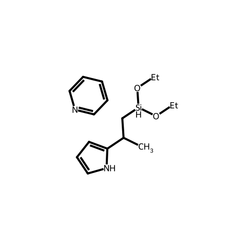 CCO[SiH](CC(C)c1ccc[nH]1)OCC.c1ccncc1